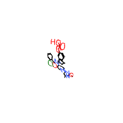 COc1nc(C)cc(N2CCC([N+](C)(C(=O)c3ccccc3Cl)[C@@H]3CCc4ccc(OC(=O)O)cc43)CC2)n1